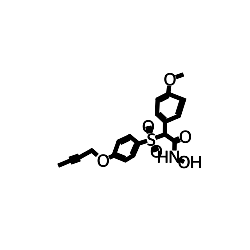 CC#CCOc1ccc(S(=O)(=O)C(C(=O)NO)c2ccc(OC)cc2)cc1